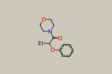 CCC(Oc1[c]cccc1)C(=O)N1CCOCC1